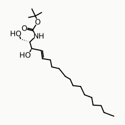 CCCCCCCCCCCCCC=C[C@@H](O)[C@H](CO)NC(=O)OC(C)(C)C